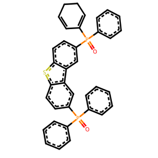 O=P(C1=CCCC=C1)(c1ccccc1)c1ccc2sc3ccc(P(=O)(c4ccccc4)c4ccccc4)cc3c2c1